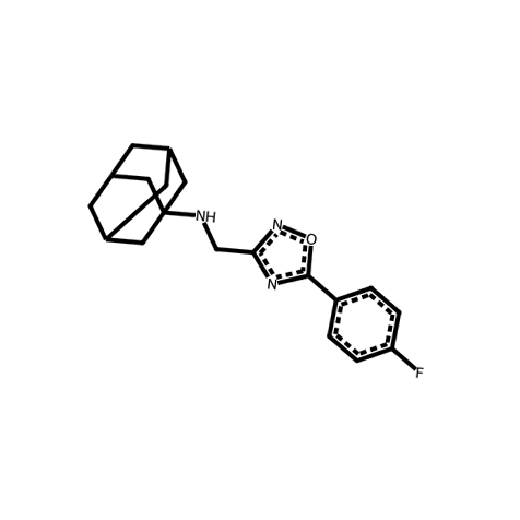 Fc1ccc(-c2nc(CNC34CC5CC(CC(C5)C3)C4)no2)cc1